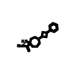 COC(=O)C1(N)CCCN(C2CC(c3ccccc3)C2)CC1